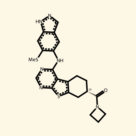 CSc1cc2[nH]ncc2cc1Nc1ncnc2sc3c(c12)CC[C@H](C(=O)N1CCC1)C3